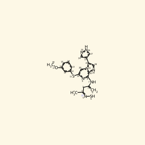 C=C(C/C(C)=N\S)Nc1nc(Sc2cccc(OC)c2)cn2c(-c3cn[nH]c3)cnc12